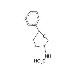 O=C(O)NC1CCC(c2ccccc2)CC1